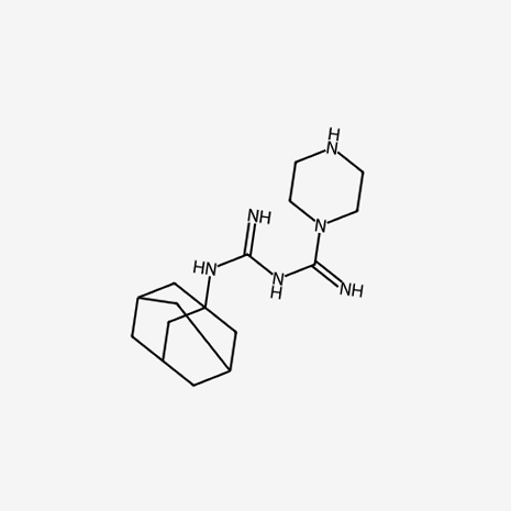 N=C(NC(=N)N1CCNCC1)NC12CC3CC(CC(C3)C1)C2